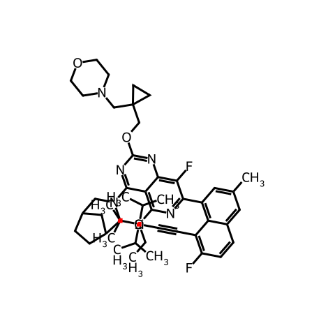 CCOc1nc(-c2cc(C)cc3ccc(F)c(C#C[Si](C(C)C)(C(C)C)C(C)C)c23)c(F)c2nc(OCC3(CN4CCOCC4)CC3)nc(N3CC4CCC(C4)C3)c12